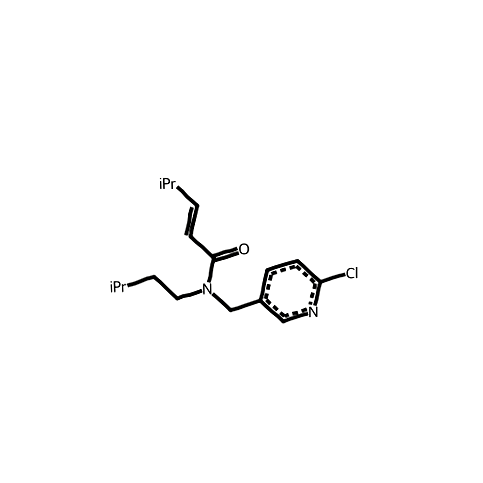 CC(C)/C=C/C(=O)N(CCC(C)C)Cc1ccc(Cl)nc1